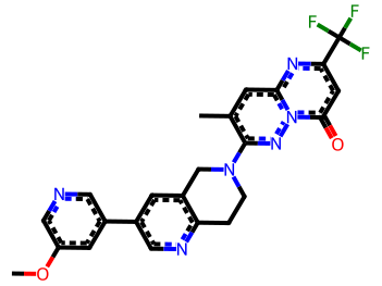 COc1cncc(-c2cnc3c(c2)CN(c2nn4c(=O)cc(C(F)(F)F)nc4cc2C)CC3)c1